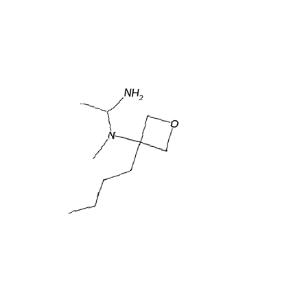 CCCCC1(N(C)C(C)N)COC1